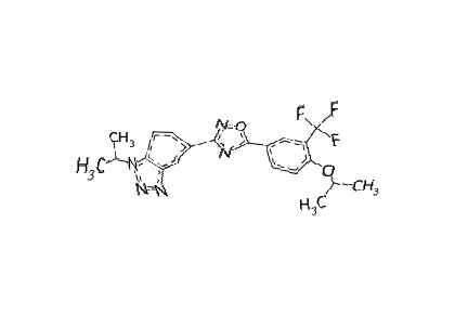 CC(C)Oc1ccc(-c2nc(-c3ccc4c(c3)nnn4C(C)C)no2)cc1C(F)(F)F